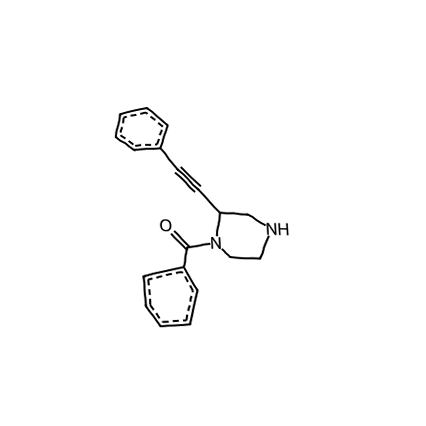 O=C(c1ccccc1)N1CCNCC1C#Cc1ccccc1